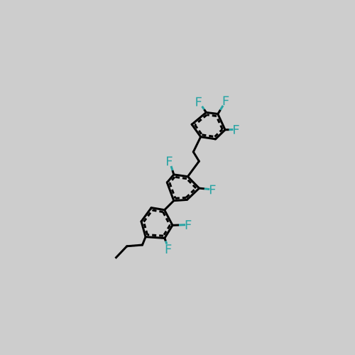 CCCc1ccc(-c2cc(F)c(CCc3cc(F)c(F)c(F)c3)c(F)c2)c(F)c1F